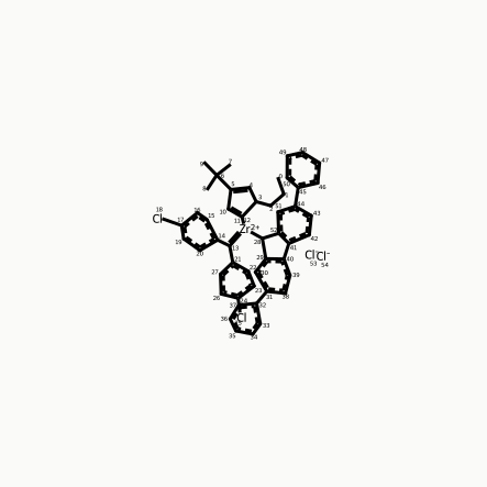 CCCC1C=C(C(C)(C)C)C=[C]1[Zr+2](=[C](c1ccc(Cl)cc1)c1ccc(Cl)cc1)[CH]1c2cc(-c3ccccc3)ccc2-c2ccc(-c3ccccc3)cc21.[Cl-].[Cl-]